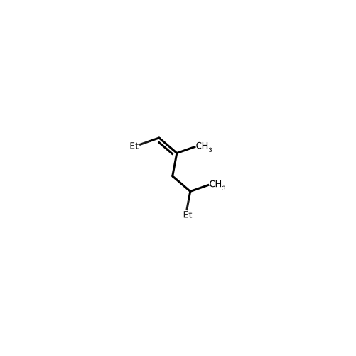 [CH2]CC=C(C)CC(C)CC